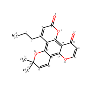 CCCc1cc(=O)oc2c1c1c(c3occc(=O)c32)C=CC(C)(C)O1